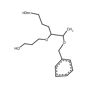 CCCCCCCCCCCCCC(OCCCO)C(C)OCc1ccccc1